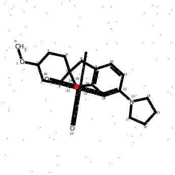 COC1CCC2(CC1)Cc1ccc(N3CCCC3)cc1C21NC(=O)NC1=O